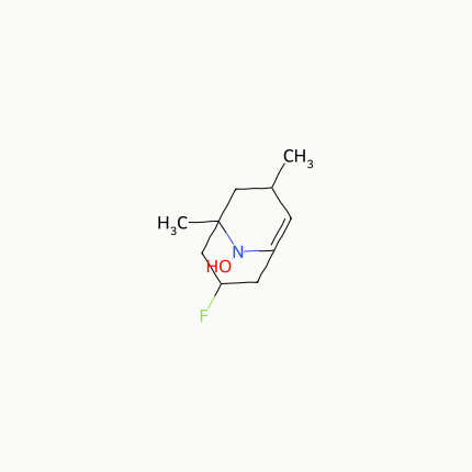 CC1C=C2CC(F)CC(C)(C1)N2O